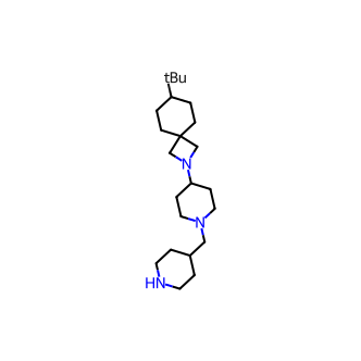 CC(C)(C)C1CCC2(CC1)CN(C1CCN(CC3CCNCC3)CC1)C2